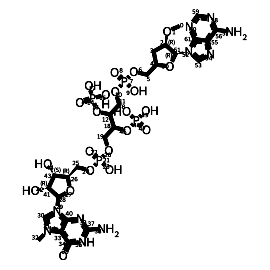 CO[C@@H]1CC(COP(=O)(O)OCC(OP(=O)(O)O)C(COP(=O)(O)OC[C@H]2OC(n3c[n+](C)c4c(=O)[nH]c(N)nc43)[C@H](O)[C@@H]2O)OP(=O)(O)O)O[C@H]1n1cnc2c(N)ncnc21